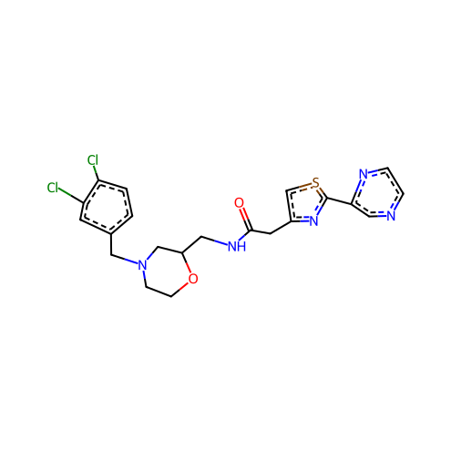 O=C(Cc1csc(-c2cnccn2)n1)NCC1CN(Cc2ccc(Cl)c(Cl)c2)CCO1